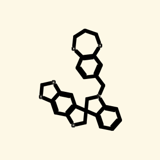 c1ccc2c(c1)N(Cc1ccc3c(c1)OCCCO3)CC21COc2cc3c(cc21)OCO3